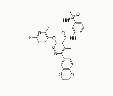 Cc1nc(F)ccc1Oc1nnc(-c2ccc3c(c2)OCCO3)c(C)c1C(=O)Nc1cccc([S@](C)(=N)=O)c1